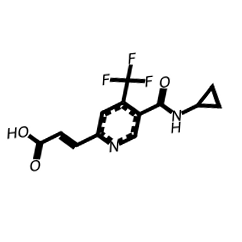 O=C(O)C=Cc1cc(C(F)(F)F)c(C(=O)NC2CC2)cn1